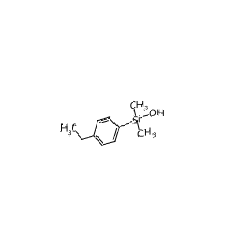 CCc1ccc([Si](C)(C)O)cc1